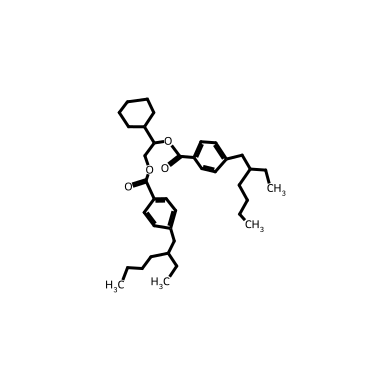 CCCCC(CC)Cc1ccc(C(=O)OCC(OC(=O)c2ccc(CC(CC)CCCC)cc2)C2CCCCC2)cc1